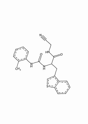 Cc1ccccc1NC(=O)NC(Cc1csc2ccccc12)C(=O)NCC#N